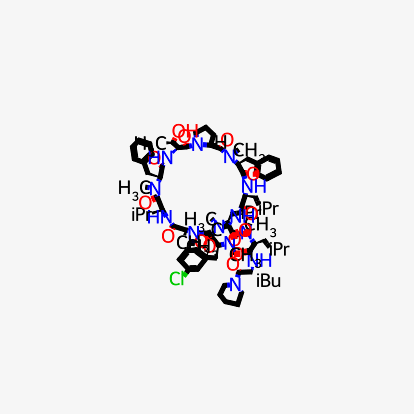 CC[C@H](C)[C@H](NC(=O)[C@H](CC(C)C)N(C)C(=O)[C@H](CC(C)C)N(C)C(=O)[C@H](Cc1cccc(Cl)c1)N(C)C(=O)[C@@H]1CC(=O)N(C)[C@@H](C)C(=O)N[C@@H](C(C)C)C(=O)N(C)[C@@H](Cc2ccccc2)C(=O)N[C@@H]([C@@H](C)O)C(=O)N2CCC[C@H]2C(=O)N(C)[C@@H](Cc2ccccc2)C(=O)N[C@@H](CC(C)C)C(=O)N1)C(=O)N1CCCCC1